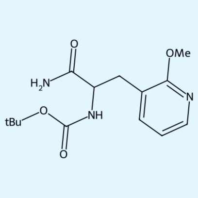 COc1ncccc1CC(NC(=O)OC(C)(C)C)C(N)=O